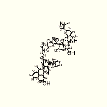 Cc1ncsc1-c1ccc([C@H](C)NC(=O)[C@@H]2C[C@@H](O)CN2C(=O)[C@H](c2cc(OC3CCN(CCOc4nc(N5CC6CCC(C5)N6)c5cnc6c(c5n4)C(C)c4cccc5cc(O)cc-6c45)CC3)no2)C(C)C)cc1